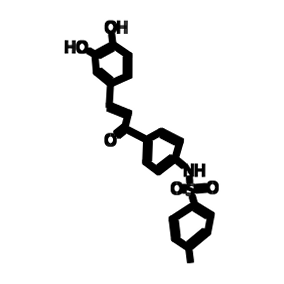 Cc1ccc(S(=O)(=O)Nc2ccc(C(=O)C=Cc3ccc(O)c(O)c3)cc2)cc1